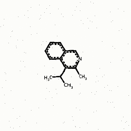 Cc1ncc2ccccc2c1C(C)C